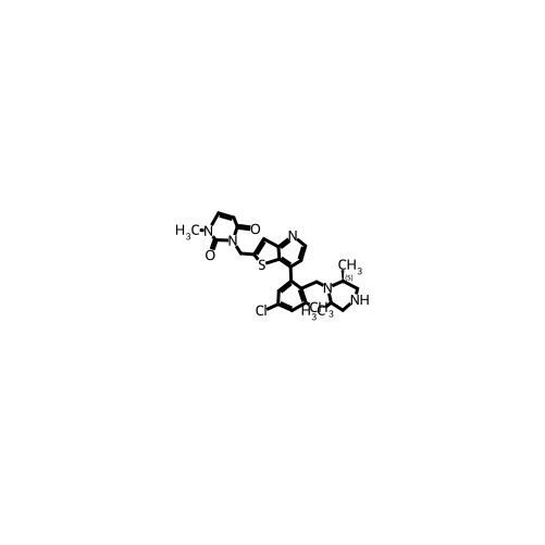 Cc1cc(Cl)cc(-c2ccnc3cc(Cn4c(=O)ccn(C)c4=O)sc23)c1CN1C(C)CNC[C@@H]1C